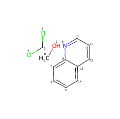 CO.ClCCl.c1ccc2ncccc2c1